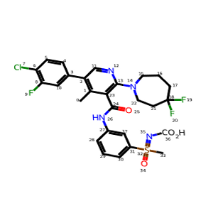 Cc1c(-c2ccc(Cl)c(F)c2)cnc(N2CCCC(F)(F)CC2)c1C(=O)Nc1cccc(S(C)(=O)=NC(=O)O)c1